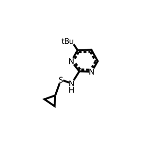 CC(C)(C)c1ccnc(NSC2CC2)n1